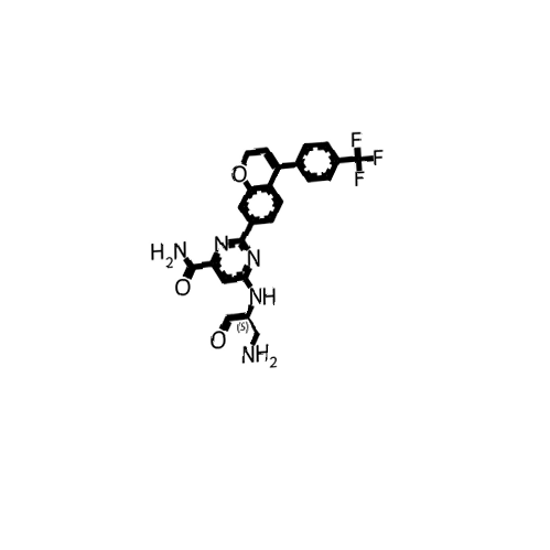 NC[C@@H](C=O)Nc1cc(C(N)=O)nc(-c2ccc3c(c2)OCC=C3c2ccc(C(F)(F)F)cc2)n1